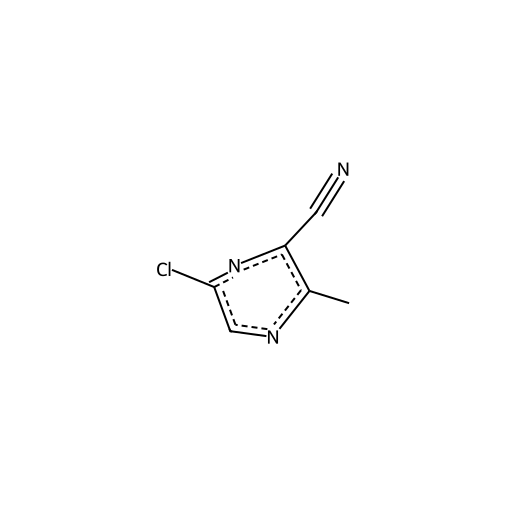 Cc1ncc(Cl)nc1C#N